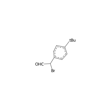 CC(C)(C)c1ccc(C(Br)C=O)cc1